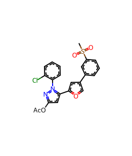 CC(=O)Oc1cc(-c2cc(-c3cccc(S(C)(=O)=O)c3)co2)n(-c2ccccc2Cl)n1